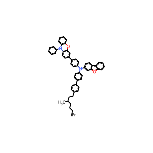 CC(C)CCCC(C)CCc1ccc(-c2ccc(N(c3ccc(-c4ccc5c(c4)Oc4ccccc4N5c4ccccc4)cc3)c3ccc4c(c3)oc3ccccc34)cc2)cc1